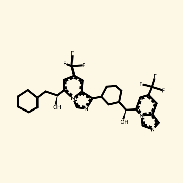 O[C@H](c1cc(C(F)(F)F)cc2cncn12)C1CCCC(c2ncn3c([C@@H](O)CC4CCCCC4)cc(C(F)(F)F)cc23)C1